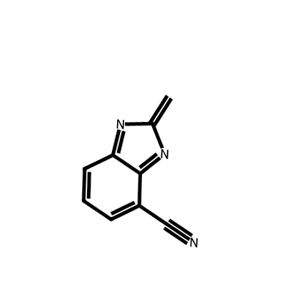 C=C1N=c2cccc(C#N)c2=N1